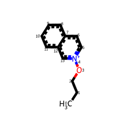 CCCO[n+]1ccc2ccccc2c1